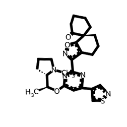 C[C@H](Oc1cc(-c2cnsc2)nc(-c2noc3c2CCC[C@@]32CCCCC2=O)n1)[C@@H]1CCCN1C